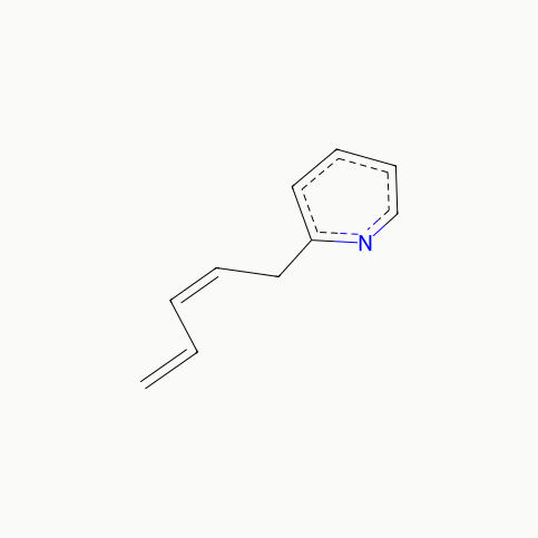 C=C/C=C\Cc1ccccn1